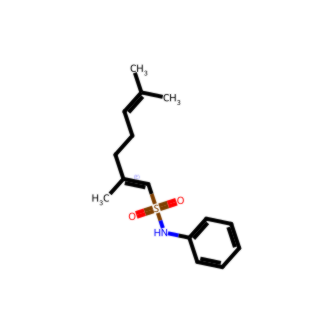 CC(C)=CCC/C(C)=C/S(=O)(=O)Nc1ccccc1